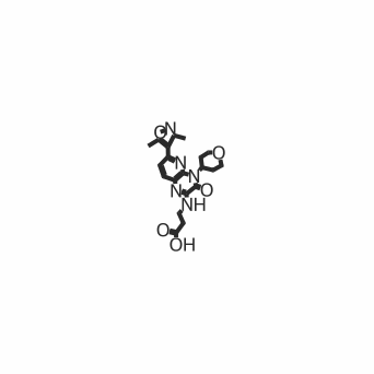 Cc1noc(C)c1-c1ccc2nc(NCCC(=O)O)c(=O)n(C3CCOCC3)c2n1